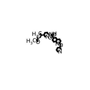 C=C(CSC(C)=O)c1ccc(NS(=O)(=O)c2ccc3nc(Oc4cccnc4)ccc3c2)nc1